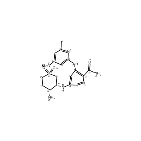 COc1cc(C)nc(Nc2cc(N[C@H]3CS(=O)(=O)CC[C@H]3N)cnc2C(N)=O)c1